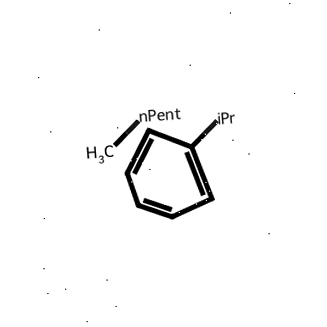 CC(C)c1ccccc1.CCCCCC